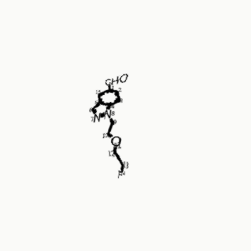 O=Cc1ccc2c(cnn2CCOCCF)c1